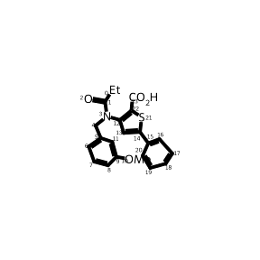 CCC(=O)N(Cc1cccc(OC)c1)c1cc(-c2ccccc2)sc1C(=O)O